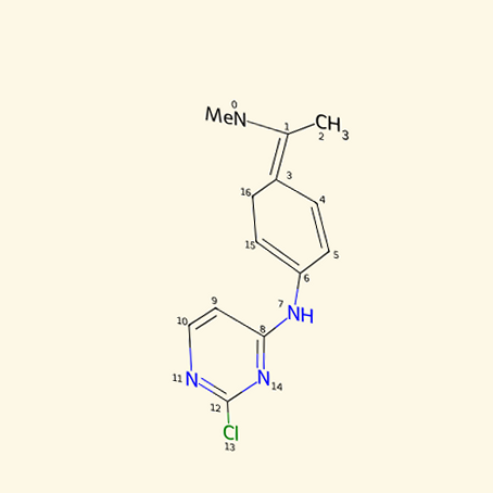 CN/C(C)=C1/C=CC(Nc2ccnc(Cl)n2)=CC1